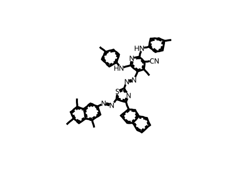 Cc1ccc(Nc2nc(Nc3ccc(C)cc3)c(N=Nc3nc(-c4ccc5ccccc5c4)c(N=Nc4cc(C)c5cc(C)cc(C)c5c4)s3)c(C)c2C#N)cc1